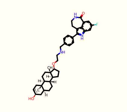 C[C@]12CC[C@H](O)C[C@@H]1CC[C@@H]1[C@@H]2CC[C@]2(C)[C@@H](OCCNCc3ccc(-c4[nH]c5cc(F)cc6c5c4CCNC6=O)cc3)CC[C@@H]12